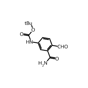 CC(C)(C)OC(=O)Nc1ccc(C=O)c(C(N)=O)c1